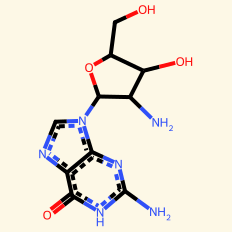 Nc1nc2c(ncn2C2OC(CO)C(O)C2N)c(=O)[nH]1